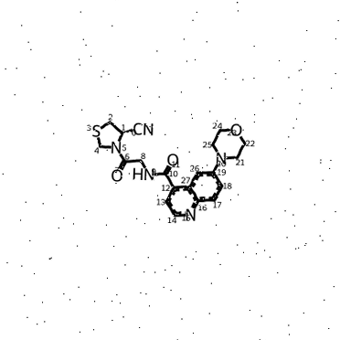 N#C[C@@H]1CSCN1C(=O)CNC(=O)c1ccnc2ccc(N3CCOCC3)cc12